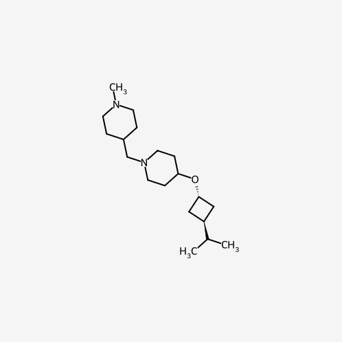 CC(C)[C@H]1C[C@H](OC2CCN(CC3CCN(C)CC3)CC2)C1